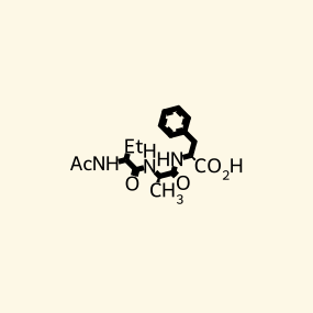 CCC(NC(C)=O)C(=O)N[C@H](C)C(=O)N[C@H](Cc1ccccc1)C(=O)O